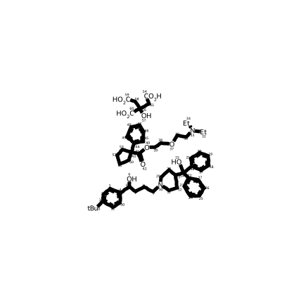 CC(C)(C)c1ccc(C(O)CCCN2CCC(C(O)(c3ccccc3)c3ccccc3)CC2)cc1.CCN(CC)CCOCCOC(=O)C1(c2ccccc2)CCCC1.O=C(O)CC(O)(CC(=O)O)C(=O)O